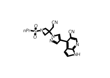 CCCS(=O)(=O)N1CC(CC#N)(n2cc(-c3c(C#N)cnc4[nH]ccc34)cn2)C1